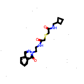 O=C(CSCC(=O)NCC1CCC1)NCCn1ncc2ccccc2c1=O